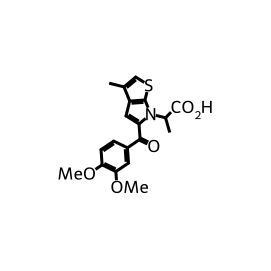 COc1ccc(C(=O)c2cc3c(C)csc3n2C(C)C(=O)O)cc1OC